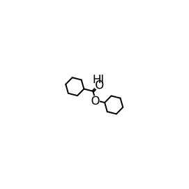 I.O=C(OC1CCCCC1)C1CCCCC1